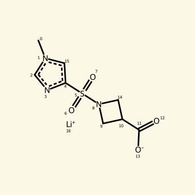 Cn1cnc(S(=O)(=O)N2CC(C(=O)[O-])C2)c1.[Li+]